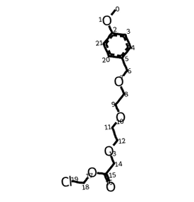 COc1ccc(COCCOCCOCC(=O)OCCl)cc1